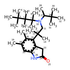 [2H]C([2H])(C(C)(C)C)C(C)(C)N(CC(C)(C)c1c(C)c(C)cc2c1CC(=O)N2)C(C)C(C)(C)C